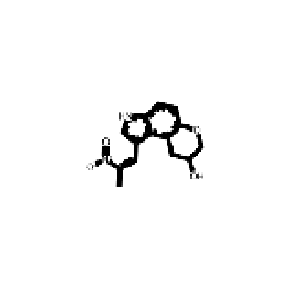 CC(=Cc1c[nH]c2ccc3c(c12)CC(O)CO3)[N+](=O)[O-]